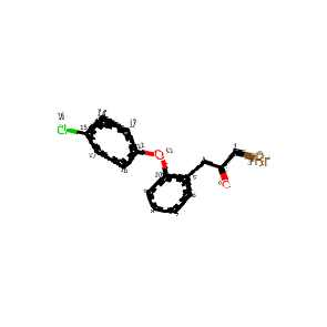 O=C(CBr)Cc1ccccc1Oc1ccc(Cl)cc1